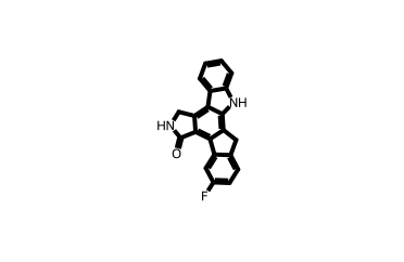 O=C1NCc2c1c1c(c3[nH]c4ccccc4c23)Cc2ccc(F)cc2-1